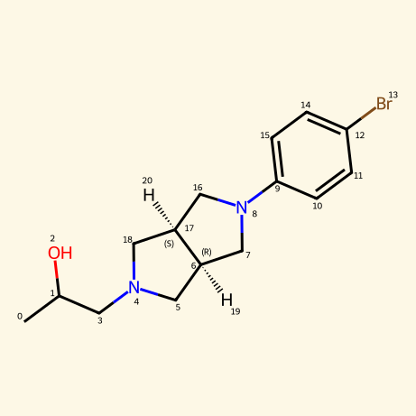 CC(O)CN1C[C@@H]2CN(c3ccc(Br)cc3)C[C@@H]2C1